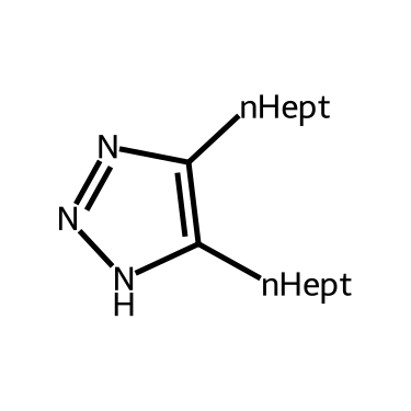 CCCCCCCc1nn[nH]c1CCCCCCC